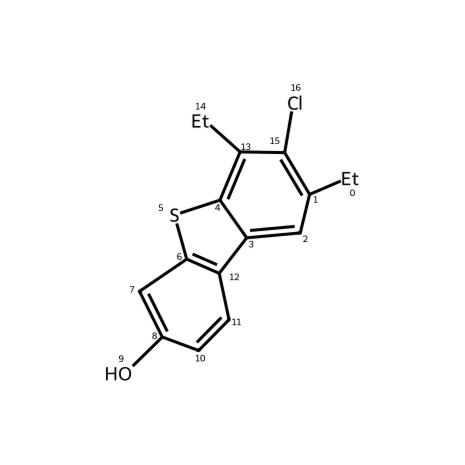 CCc1cc2c(sc3cc(O)ccc32)c(CC)c1Cl